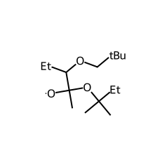 CCC(OCC(C)(C)C)C(C)([O])OC(C)(C)CC